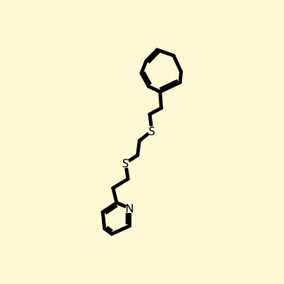 C1=C/CC\C=C(CCSCCSCCc2ccccn2)/C=C\1